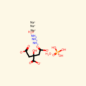 N.N.N.O.O.O=C([O-])CC(O)(CC(=O)[O-])C(=O)[O-].O=P(O)(O)O.[Na+].[Na+].[Na+]